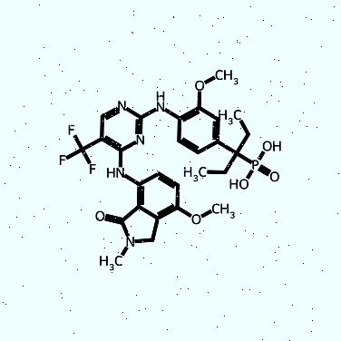 CCC(CC)(c1ccc(Nc2ncc(C(F)(F)F)c(Nc3ccc(OC)c4c3C(=O)N(C)C4)n2)c(OC)c1)P(=O)(O)O